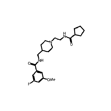 COc1cc(F)cc(C(=O)NCC2CCN(CCNC(=O)C3CCCC3)CC2)c1